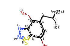 CCCCC(CC)Cc1cc(Br)c2snnc2c1Br